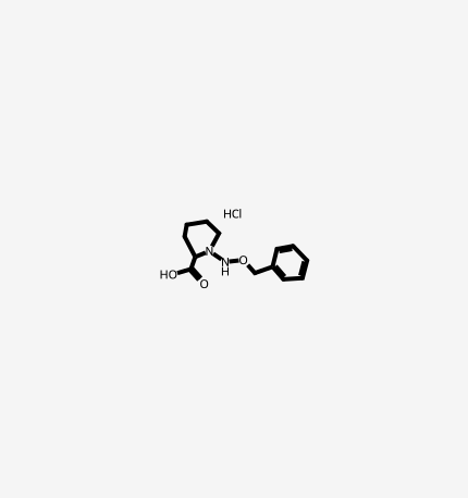 Cl.O=C(O)C1CCCCN1NOCc1ccccc1